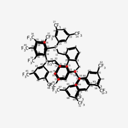 FC(F)(F)c1cc(P(Cc2cccc(CP(c3cc(C(F)(F)F)cc(C(F)(F)F)c3)c3cc(C(F)(F)F)cc(C(F)(F)F)c3)c2-c2c(CP(c3cc(C(F)(F)F)cc(C(F)(F)F)c3)c3cc(C(F)(F)F)cc(C(F)(F)F)c3)cccc2CP(c2cc(C(F)(F)F)cc(C(F)(F)F)c2)c2cc(C(F)(F)F)cc(C(F)(F)F)c2)c2cc(C(F)(F)F)cc(C(F)(F)F)c2)cc(C(F)(F)F)c1